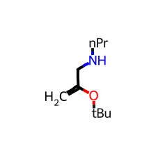 C=C(CNCCC)OC(C)(C)C